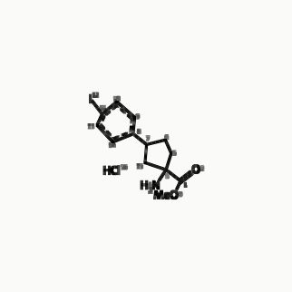 COC(=O)C1(N)CCC(c2ccc(I)cc2)C1.Cl